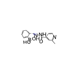 Cc1cc(C(=O)N/N=C/c2ccccc2B(O)O)ccn1